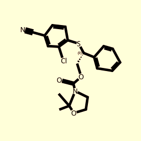 CC1(C)OCCN1C(=O)OC[C@H](Sc1ccc(C#N)cc1Cl)c1ccccc1